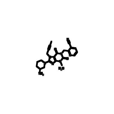 CC#CCn1c(N2CCCC(N)C2)nc2c1c(=O)n(Cc1ncccc1C#N)c(=O)n2C.O